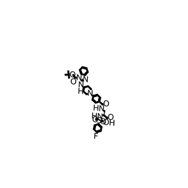 CC(C)(C)OC(=O)n1c(NC2CCN(c3ccc(C(=O)NC[C@H](NS(=O)(=O)c4ccc(F)cc4)C(=O)O)cc3)CC2)nc2ccccc21